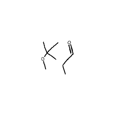 CCC=O.COC(C)(C)C